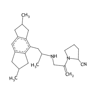 C=C(CNC(C)Cc1c2c(cc3c1CC(C)C3)CC(C)C2)N1CCCC1C#N